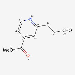 COC(=O)c1ccnc(CCC=O)c1